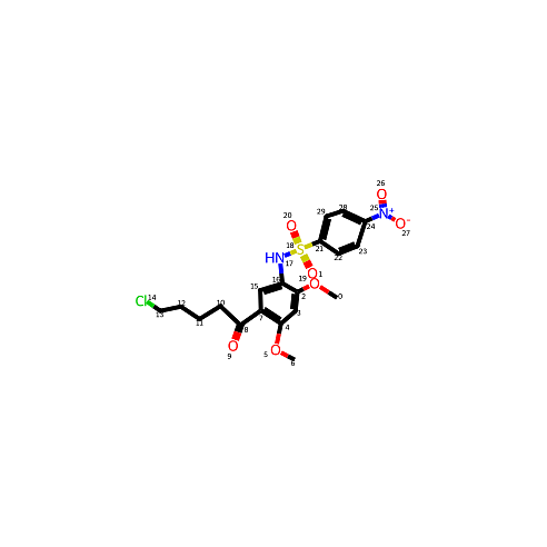 COc1cc(OC)c(C(=O)CCCCCl)cc1NS(=O)(=O)c1ccc([N+](=O)[O-])cc1